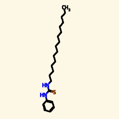 CCCCCCCCCCCCCCCCNC(=S)Nc1ccccc1